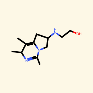 CC1=NC(C)C(C)=C2CC(NCCO)CN12